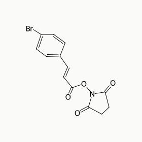 O=C(C=Cc1ccc(Br)cc1)ON1C(=O)CCC1=O